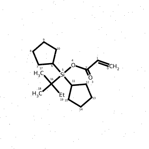 C=CC(=O)O[Si](C1CCCC1)(C1CCCC1)C(C)(C)CC